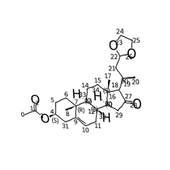 CC(=O)O[C@H]1CC[C@@]2(C)C(=CC[C@@H]3[C@@H]2CC[C@]2(C)C([C@H](C)CC4OCCO4)C(=O)C[C@@H]32)C1